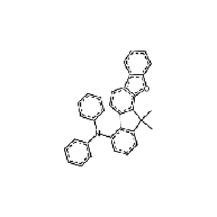 CC1(C)c2cccc(N(c3ccccc3)c3ccccc3)c2-c2ccc3c(oc4ccccc43)c21